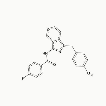 O=C(Nc1nn(Cc2ccc(C(F)(F)F)cc2)c2ccccc12)c1ccc(F)cc1